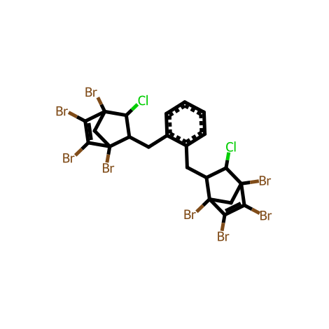 ClC1C(Cc2ccccc2CC2C(Cl)C3(Br)CC2(Br)C(Br)=C3Br)C2(Br)CC1(Br)C(Br)=C2Br